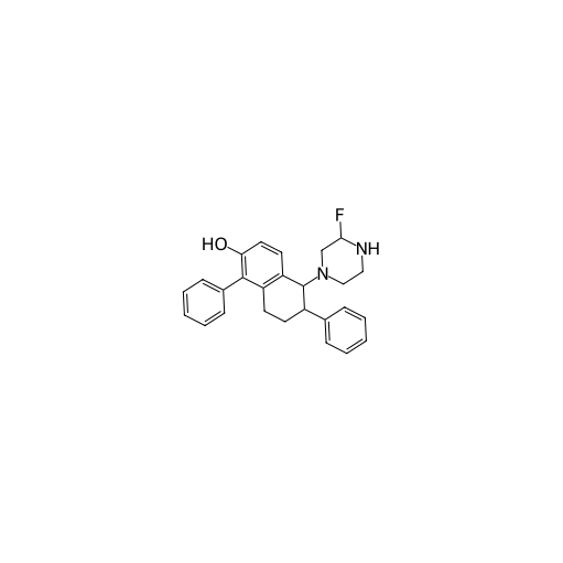 Oc1ccc2c(c1-c1ccccc1)CCC(c1ccccc1)C2N1CCNC(F)C1